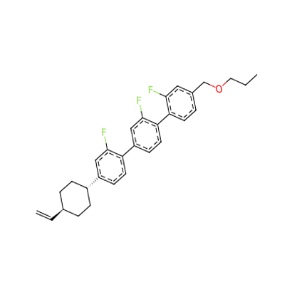 C=C[C@H]1CC[C@H](c2ccc(-c3ccc(-c4ccc(COCCC)cc4F)c(F)c3)c(F)c2)CC1